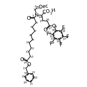 CCCCCCCCCCCN(C(=O)CCCCCCCCCC(=O)OCc1ccccc1)[C@H](CCC(=O)Oc1c(F)c(F)c(F)c(F)c1F)C(=O)O